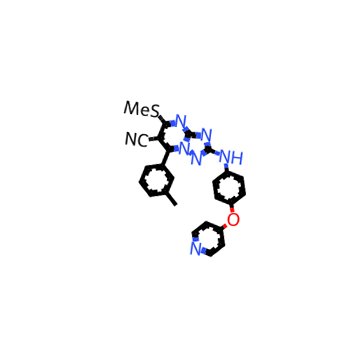 CSc1nc2nc(Nc3ccc(Oc4ccncc4)cc3)nn2c(-c2cccc(C)c2)c1C#N